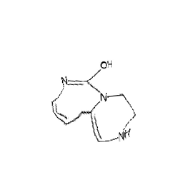 OC1=NC=CC2=CNCCN21